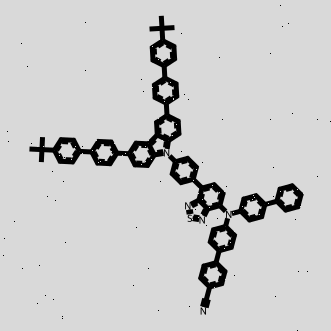 CC(C)(C)c1ccc(-c2ccc(-c3ccc4c(c3)c3cc(-c5ccc(-c6ccc(C(C)(C)C)cc6)cc5)ccc3n4-c3ccc(-c4ccc(N(c5ccc(-c6ccccc6)cc5)c5ccc(-c6ccc(C#N)cc6)cc5)c5nsnc45)cc3)cc2)cc1